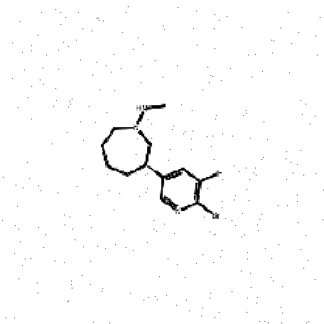 CNN1CCCC[C@H](c2cnc(Br)c(F)c2)C1